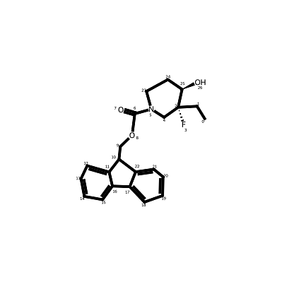 CC[C@@]1(F)CN(C(=O)OCC2c3ccccc3-c3ccccc32)CC[C@H]1O